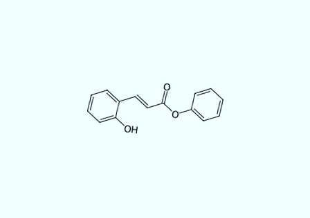 O=C(/C=C/c1ccccc1O)Oc1ccccc1